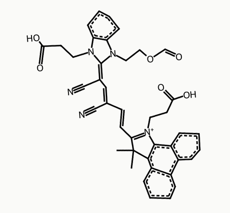 CC1(C)C(/C=C/C(C#N)=C/C(C#N)=C2\N(CCOC=O)c3ccccc3N2CCC(=O)O)=[N+](CCC(=O)O)c2c1c1ccccc1c1ccccc21